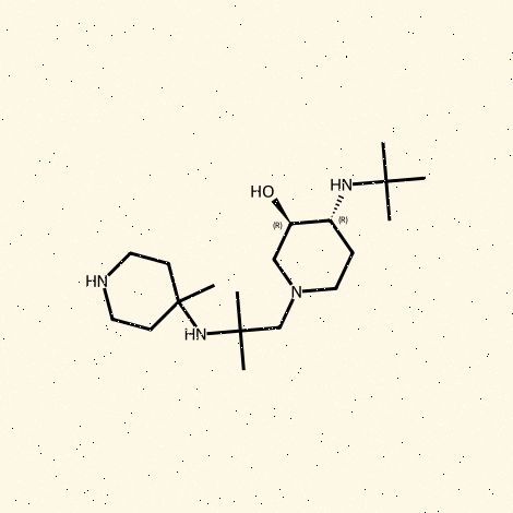 CC(C)(C)N[C@@H]1CCN(CC(C)(C)NC2(C)CCNCC2)C[C@H]1O